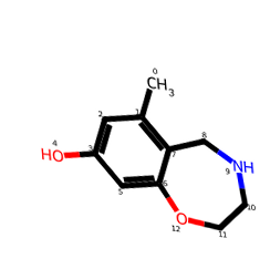 Cc1cc(O)cc2c1CNCCO2